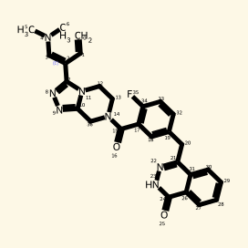 C=C/C(=C\N(C)C)c1nnc2n1CCN(C(=O)c1cc(Cc3n[nH]c(=O)c4ccccc34)ccc1F)C2